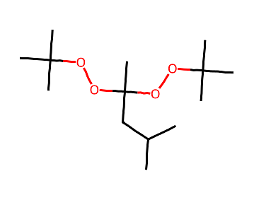 CC(C)CC(C)(OOC(C)(C)C)OOC(C)(C)C